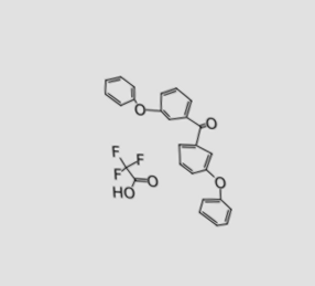 O=C(O)C(F)(F)F.O=C(c1cccc(Oc2ccccc2)c1)c1cccc(Oc2ccccc2)c1